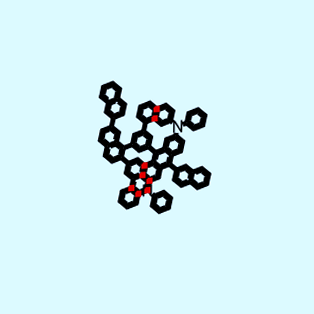 c1ccc(-c2cc(-c3c(-c4ccc5ccccc5c4)ccc4ccc(-c5ccc6ccccc6c5)cc34)cc(-c3c4ccc(N(c5ccccc5)c5ccccc5)cc4c(-c4ccc5ccccc5c4)c4ccc(N(c5ccccc5)c5ccccc5)cc34)c2)cc1